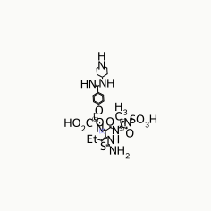 CCc1sc(N)nc1/C(=N/O[C@@H](COc1ccc(C(=N)NC2CCNCC2)cc1)C(=O)O)C(=O)N[C@@H]1C(=O)N(S(=O)(=O)O)[C@H]1C